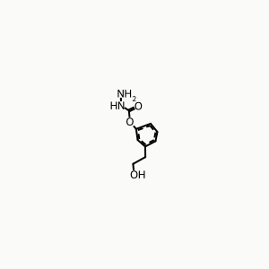 NNC(=O)Oc1cccc(CCO)c1